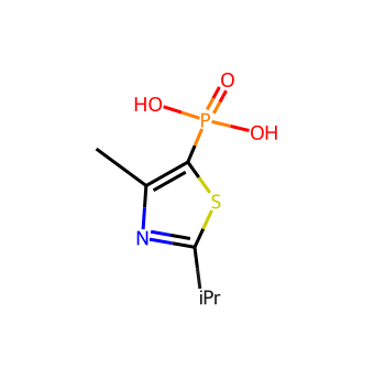 Cc1nc(C(C)C)sc1P(=O)(O)O